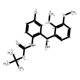 COc1cccc([C@@H](O)c2cc(Cl)ccc2NC(=O)OC(C)(C)C)c1OC